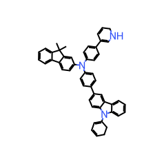 CC1(C)c2ccccc2-c2ccc(N(c3ccc(C4=CNCC=C4)cc3)c3ccc(-c4ccc5c(c4)c4ccccc4n5C4=CC=CCC4)cc3)cc21